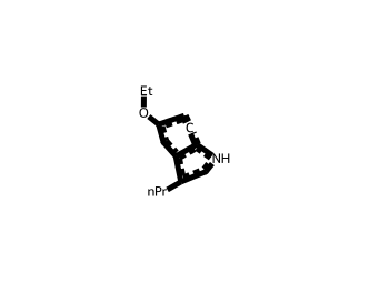 CCCc1c[nH]c2ccc(OCC)cc12